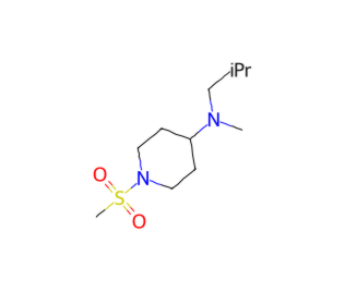 CC(C)CN(C)C1CCN(S(C)(=O)=O)CC1